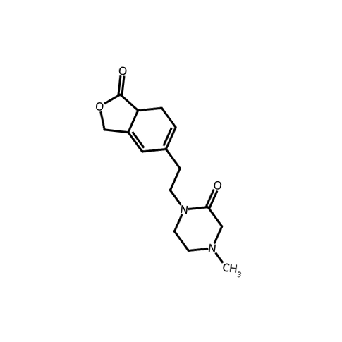 CN1CCN(CCC2=CCC3C(=O)OCC3=C2)C(=O)C1